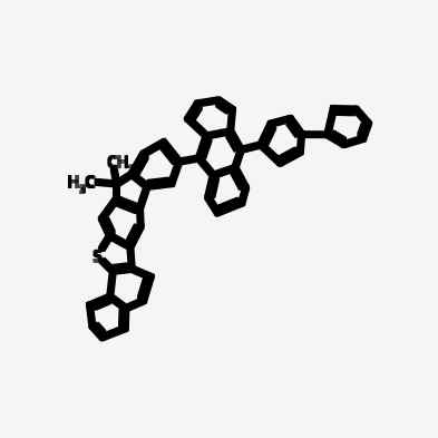 CC1(C)c2ccc(-c3c4ccccc4c(-c4ccc(-c5ccccc5)cc4)c4ccccc34)cc2-c2cc3c(cc21)sc1c2ccccc2ccc31